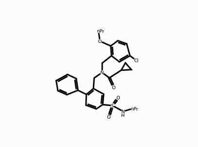 CCCNS(=O)(=O)c1ccc(-c2ccccc2)c(CN(Cc2cc(Cl)ccc2OCCC)C(=O)C2CC2)c1